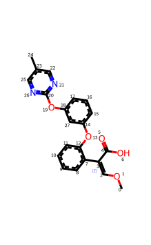 CO/C=C(\C(=O)O)c1ccccc1Oc1cccc(Oc2ncc(C)cn2)c1